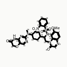 COc1ccc2ncc(=O)n(CC(NS(=O)(=O)c3ccccc3[N+](=O)[O-])C3CCC(N(C)c4ncc5c(n4)NC(=O)CO5)CC3)c2c1